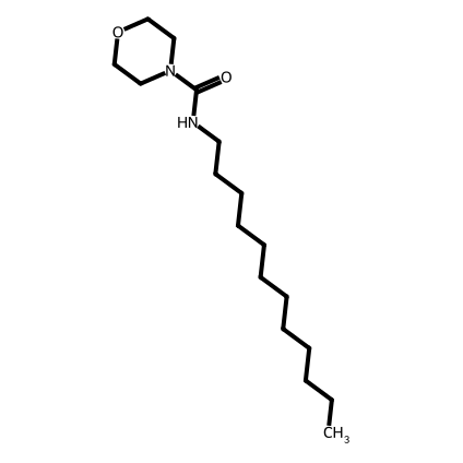 CCCCCCCCCCCCNC(=O)N1CCOCC1